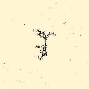 C/C=C/Oc1cc2c(cc1OCCCCCOc1cc3c(cc1OC)C(=O)N1C=C(C)C[C@H]1C=N3)N=C[C@@H]1CC(C)=CN1C2=O